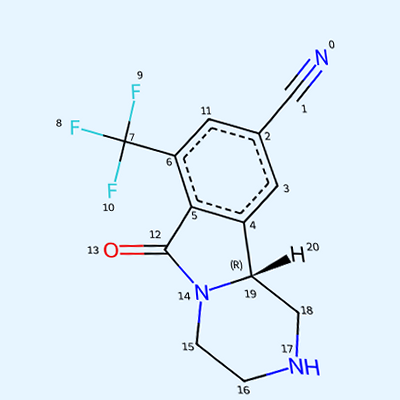 N#Cc1cc2c(c(C(F)(F)F)c1)C(=O)N1CCNC[C@@H]21